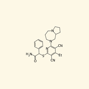 CCc1c(C#N)c(SC(C(N)=O)c2ccccc2)nc(N2CCCN3CCCC3C2)c1C#N